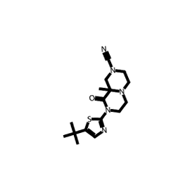 CC(C)(C)c1cnc(N2CCN3CCN(C#N)CC3(C)C2=O)s1